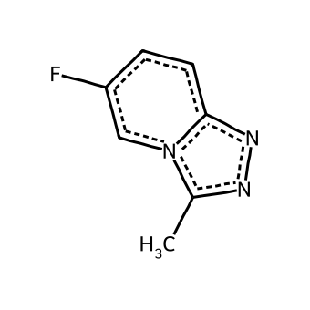 Cc1nnc2ccc(F)cn12